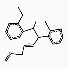 C=NC/C=C/C(c1ccccc1C)C(C)c1ccccc1CC